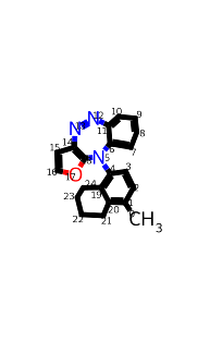 Cc1ccc(N2c3ccccc3N=Nc3ccoc32)c2c1CCCC2